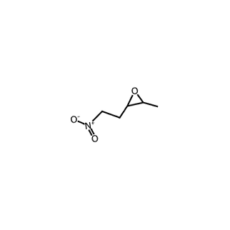 CC1OC1CC[N+](=O)[O-]